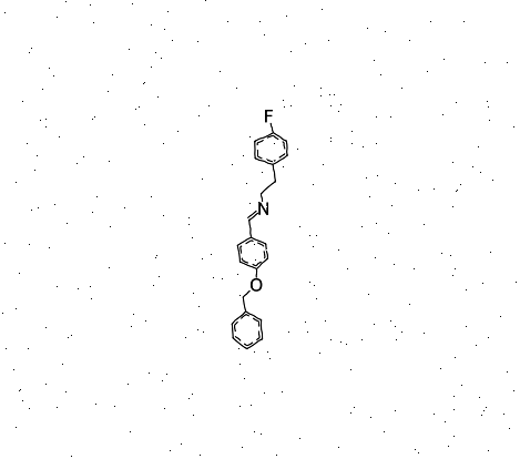 Fc1ccc(CC/N=C/c2ccc(OCc3ccccc3)cc2)cc1